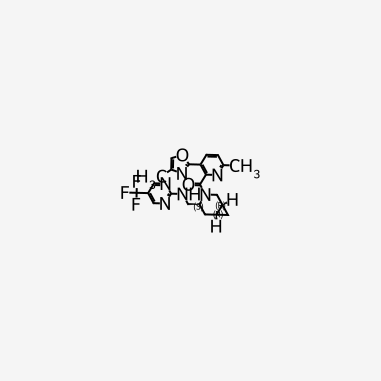 Cc1coc(-c2ccc(C)nc2C(=O)N2C[C@@H]3C[C@@H]3C[C@H]2CNc2ncc(C(F)(F)F)cn2)n1